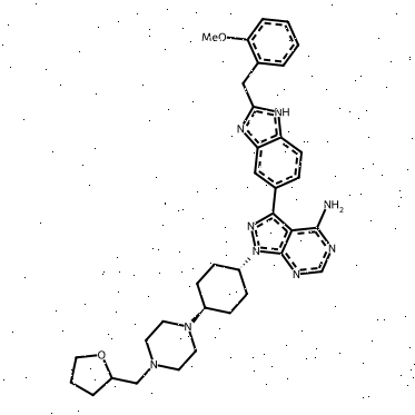 COc1ccccc1Cc1nc2cc(-c3nn([C@H]4CC[C@H](N5CCN(CC6CCCO6)CC5)CC4)c4ncnc(N)c34)ccc2[nH]1